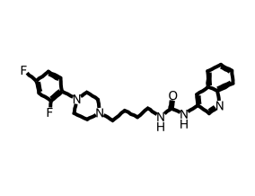 O=C(NCCCCN1CCN(c2ccc(F)cc2F)CC1)Nc1cnc2ccccc2c1